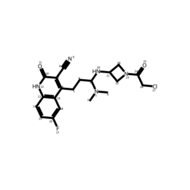 CN(C)C(CCc1c(C#N)c(=O)[nH]c2ccc(F)cc12)NC1CN(C(=O)CCl)C1